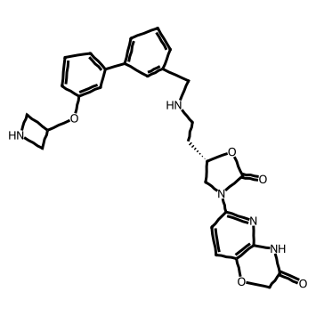 O=C1COc2ccc(N3C[C@H](CCNCc4cccc(-c5cccc(OC6CNC6)c5)c4)OC3=O)nc2N1